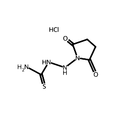 Cl.NC(=S)NNN1C(=O)CCC1=O